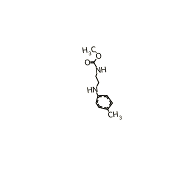 COC(=O)NCCNc1ccc(C)cc1